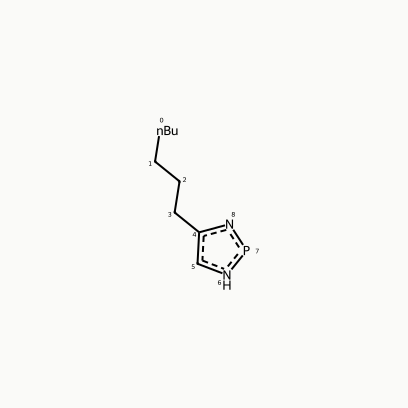 CCCCCCCc1c[nH]pn1